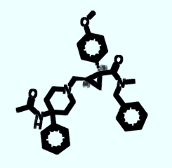 COc1ccc([C@]2(C(=O)N(C)Cc3ccccc3)C[C@H]2CN2CCC(NC(C)=O)(c3ccccc3)CC2)cc1